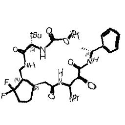 CCCC(NC(=O)C[C@H]1CCC(F)(F)[C@H]1CNC(=O)[C@@H](NC(=O)OC(C)C)C(C)(C)C)C(=O)C(=O)N[C@H](C)c1ccccc1